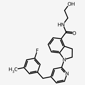 Cc1cc(F)cc(Cc2ccnc(N3CCc4c(C(=O)NCCO)cccc43)c2)c1